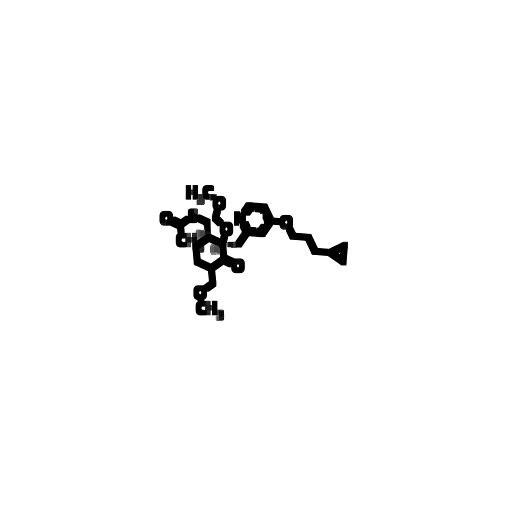 COCO[C@@]1(Cc2cc(OCCCC3CC3)ccn2)C(=O)C(COC)CC[C@H]1CSC(C)=O